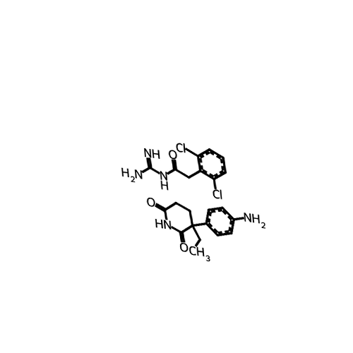 CCC1(c2ccc(N)cc2)CCC(=O)NC1=O.N=C(N)NC(=O)Cc1c(Cl)cccc1Cl